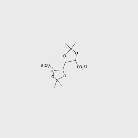 CCOC(=O)C1OC(C)(C)OC1C1OC(C)(C)O[C@@H]1C(=O)OCC